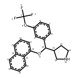 FC(F)(F)Oc1cccc(C(Oc2cccc3ccccc23)C2CCNC2)c1